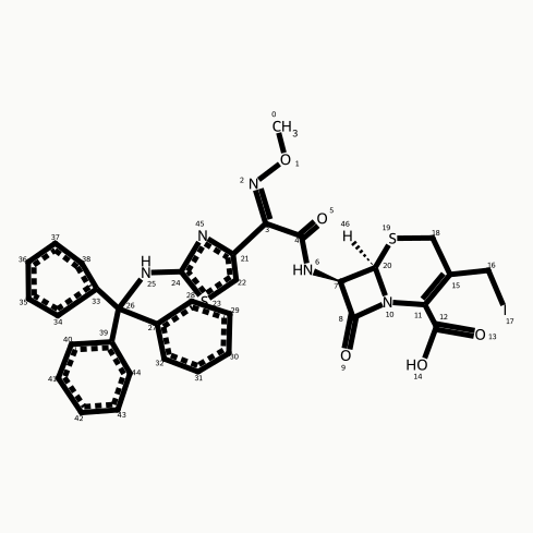 CO/N=C(\C(=O)N[C@@H]1C(=O)N2C(C(=O)O)=C(CI)CS[C@H]12)c1csc(NC(c2ccccc2)(c2ccccc2)c2ccccc2)n1